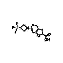 O=C(O)c1cc2ccc(N3CC(C(F)(F)F)C3)cc2o1